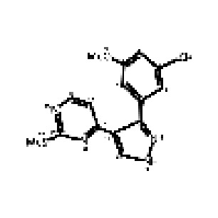 COc1cc(Cl)cc(-c2n[nH]cc2-c2ccnc(SC)n2)c1